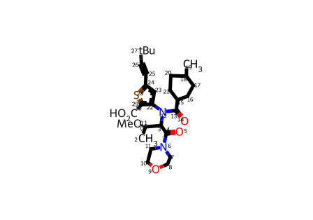 CO[C@@H](C)C(C(=O)N1CCOCC1)N(C(=O)C1CCC(C)CC1)c1cc(C#CC(C)(C)C)sc1C(=O)O